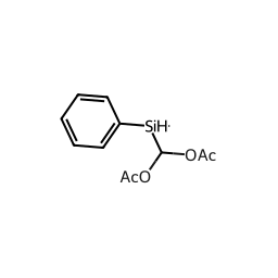 CC(=O)OC(OC(C)=O)[SiH]c1ccccc1